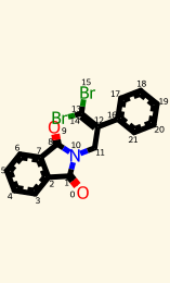 O=C1c2ccccc2C(=O)N1CC(=C(Br)Br)c1ccccc1